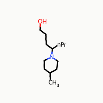 CCCC(CCCO)N1CCC(C)CC1